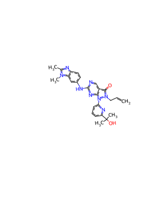 C=CCn1c(=O)c2cnc(Nc3ccc4nc(C)n(C)c4c3)nc2n1-c1cccc(C(C)(C)O)n1